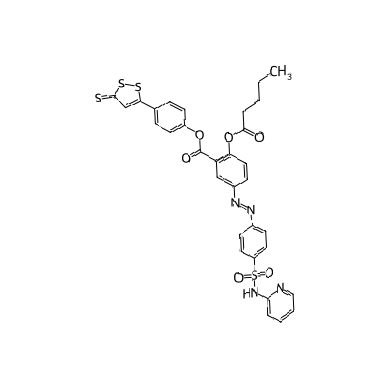 CCCCC(=O)Oc1ccc(/N=N/c2ccc(S(=O)(=O)Nc3ccccn3)cc2)cc1C(=O)Oc1ccc(-c2cc(=S)ss2)cc1